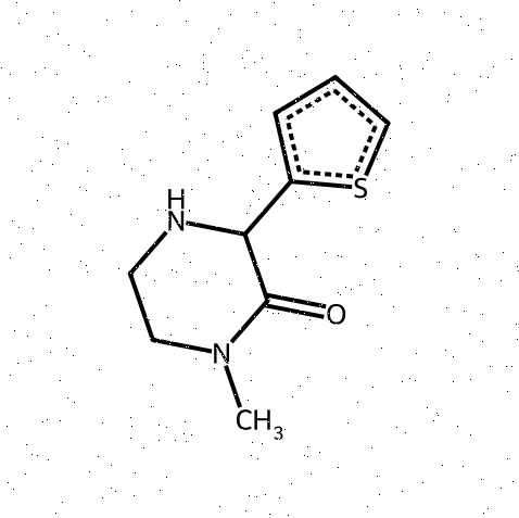 CN1CCNC(c2cccs2)C1=O